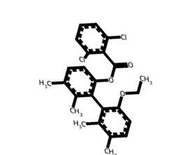 CCOc1ccc(C)c(C)c1-c1c(OC(=O)c2c(Cl)cccc2Cl)ccc(C)c1C